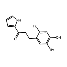 CC(C)c1cc(CCC(=O)c2ccc[nH]2)c(C(C)C)cc1O